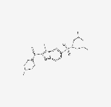 Cc1c(C(=O)N2CCN(C)CC2)oc2ccc(S(=O)(=O)N3CC(C)CC(C)C3)cc12